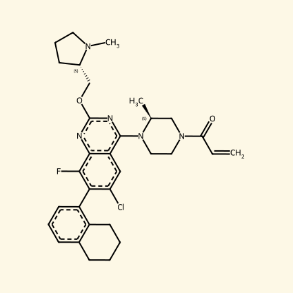 C=CC(=O)N1CCN(c2nc(OC[C@@H]3CCCN3C)nc3c(F)c(-c4cccc5c4CCCC5)c(Cl)cc23)[C@@H](C)C1